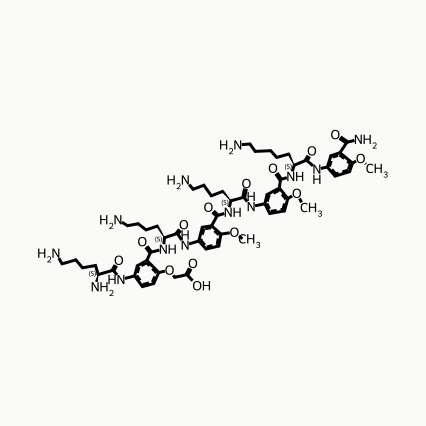 COc1ccc(NC(=O)[C@H](CCCCCN)NC(=O)c2cc(NC(=O)[C@H](CCCCN)NC(=O)c3cc(NC(=O)[C@H](CCCCN)NC(=O)c4cc(NC(=O)[C@@H](N)CCCCN)ccc4OCC(=O)O)ccc3OC)ccc2OC)cc1C(N)=O